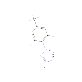 Nc1ncn(-c2c(Cl)cc(C(F)(F)F)cc2Cl)n1